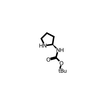 CC(C)(C)OC(=O)N[C@@H]1CCCN1